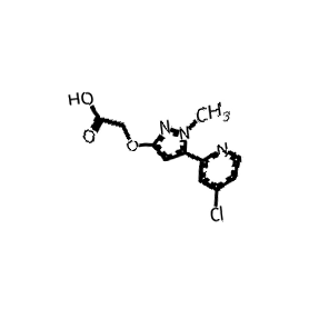 Cn1nc(OCC(=O)O)cc1-c1cc(Cl)ccn1